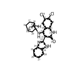 O=c1[nH]c2cc(Cl)c(Cl)cc2c(N[C@@H]2CN3CCC2CC3)c1-c1nc2ccccc2[nH]1